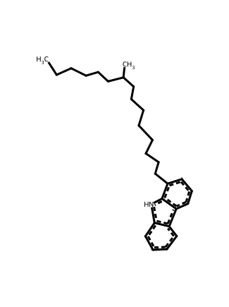 CCCCCCC(C)CCCCCCCCc1[c]ccc2c1[nH]c1c[c]ccc12